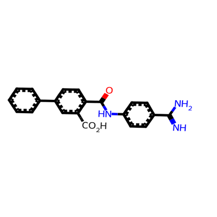 N=C(N)c1ccc(NC(=O)c2ccc(-c3ccccc3)cc2C(=O)O)cc1